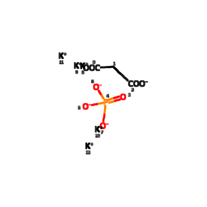 O=C([O-])CC(=O)[O-].O=P([O-])([O-])[O-].[K+].[K+].[K+].[K+].[K+]